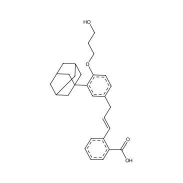 O=C(O)c1ccccc1C=CCc1ccc(OCCCO)c(C23CC4CC(CC(C4)C2)C3)c1